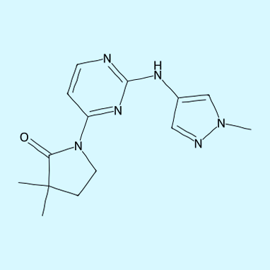 Cn1cc(Nc2nccc(N3CCC(C)(C)C3=O)n2)cn1